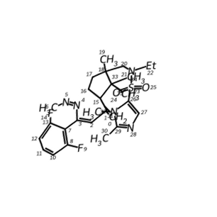 C=C(/C=C(\N=N/C)c1c(F)cccc1F)C1CCC(C)(CN(CC)S(=O)(=O)c2cnc(C)n2C)C1(C)C